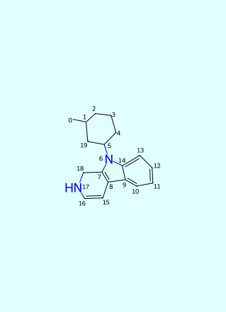 CC1CCCC(n2c3c(c4ccccc42)C=CNC3)C1